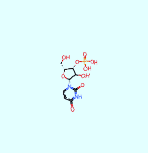 O=c1ccn([C@@H]2O[C@H](CO)[C@H](OP(=O)(O)O)C2O)c(=O)[nH]1